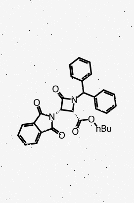 CCCCOC(=O)[C@@H]1[C@H](N2C(=O)c3ccccc3C2=O)C(=O)N1C(c1ccccc1)c1ccccc1